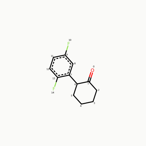 O=C1CCCCC1c1cc(F)ccc1F